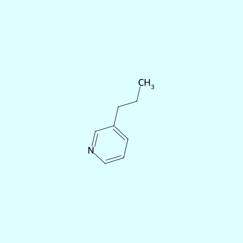 CCCc1cccnc1